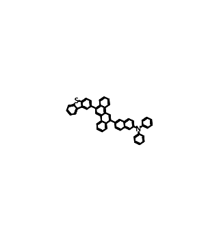 c1ccc(N(c2ccccc2)c2ccc3cc(-c4cc5c6ccccc6c(-c6ccc7sc8ccccc8c7c6)cc5c5ccccc45)ccc3c2)cc1